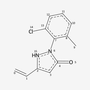 C=Cc1cc(=O)n(-c2c(C)cccc2Cl)[nH]1